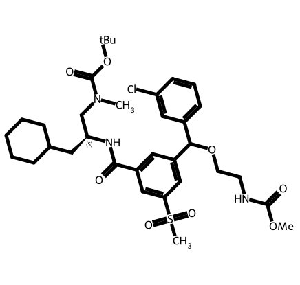 COC(=O)NCCOC(c1cccc(Cl)c1)c1cc(C(=O)N[C@@H](CC2CCCCC2)CN(C)C(=O)OC(C)(C)C)cc(S(C)(=O)=O)c1